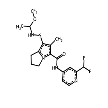 Cc1c(SNC(C)OC(F)(F)F)c2n(c1C(=O)Nc1ccnc(C(F)F)c1)CCC2